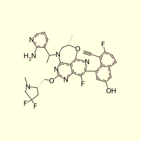 C#Cc1c(F)ccc2cc(O)cc(-c3nc4c5c(nc(OC[C@@H]6CC(F)(F)CN6C)nc5c3F)N(C(C)c3cccnc3N)C[C@H](C)O4)c12